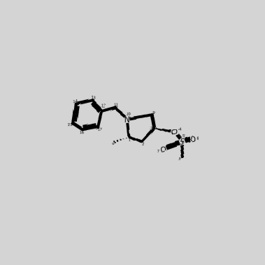 C[C@H]1C[C@H](OS(C)(=O)=O)CN1Cc1ccccc1